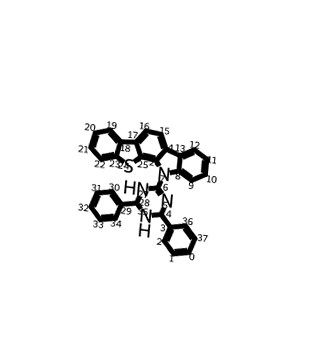 c1ccc(C2N=C(n3c4ccccc4c4ccc5c6ccccc6sc5c43)NC(c3ccccc3)N2)cc1